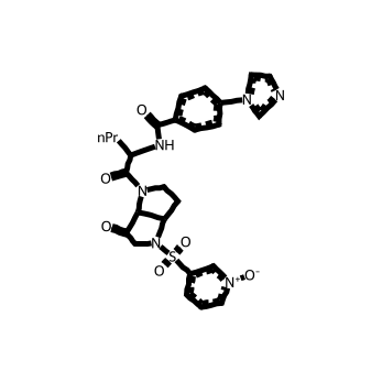 CCCC(NC(=O)c1ccc(-n2ccnc2)cc1)C(=O)N1CCC2C1C(=O)CN2S(=O)(=O)c1ccc[n+]([O-])c1